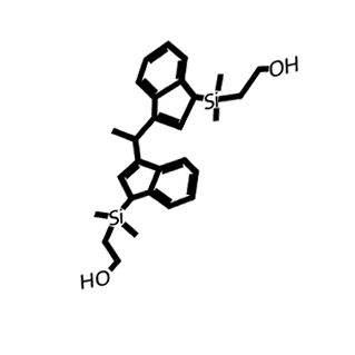 CC(C1=CC([Si](C)(C)CCO)c2ccccc21)C1=CC([Si](C)(C)CCO)c2ccccc21